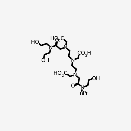 CCCN(CCO)C(=O)CN(CCN(CCN(CC(=O)O)CC(=O)N(CCO)CCO)CC(=O)O)CC(=O)O